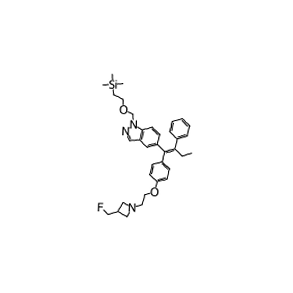 CC/C(=C(\c1ccc(OCCN2CC(CF)C2)cc1)c1ccc2c(cnn2COCC[Si](C)(C)C)c1)c1ccccc1